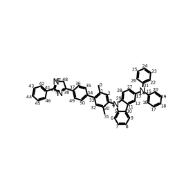 Cc1cc(-n2c3ccccc3c3cc(N(c4ccccc4)c4ccccc4)ccc32)c(C)cc1-c1ccc(C2=NC(c3ccccc3)=NC2)cc1